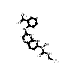 CCNC(=O)N(S)c1ccc2ncc(Nc3ccccc3C(C)=O)nc2n1